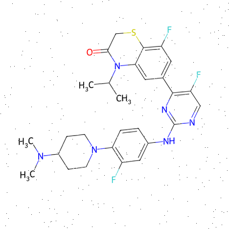 CC(C)N1C(=O)CSc2c(F)cc(-c3nc(Nc4ccc(N5CCC(N(C)C)CC5)c(F)c4)ncc3F)cc21